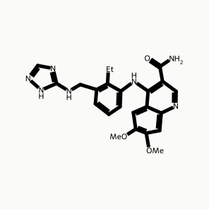 CCc1c(CNc2ncn[nH]2)cccc1Nc1c(C(N)=O)cnc2cc(OC)c(OC)cc12